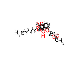 CCCCCCCCOc1c(O)c2c(OCCCOC(C)=O)cccc2oc1=O